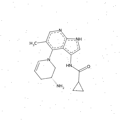 Cc1cnc2[nH]cc(NC(=O)C3CC3)c2c1N1C=CC[C@@H](N)C1